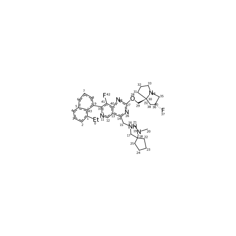 CCc1cccc2cccc(-c3ncc4c(CNCC5(N(C)C)CCCC5)nc(OC[C@@]56CCCN5C[C@H](F)C6)nc4c3F)c12